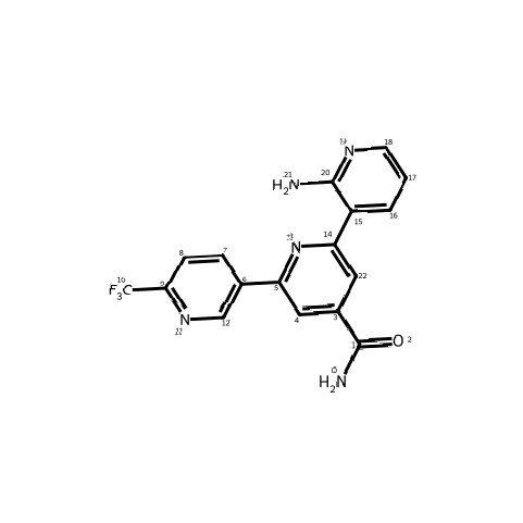 NC(=O)c1cc(-c2ccc(C(F)(F)F)nc2)nc(-c2cccnc2N)c1